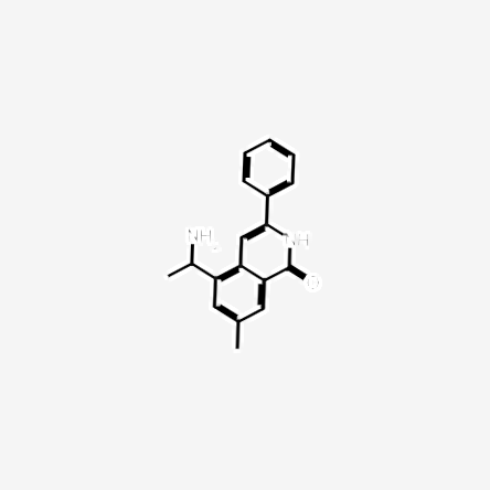 Cc1cc(C(C)N)c2cc(-c3ccccc3)[nH]c(=O)c2c1